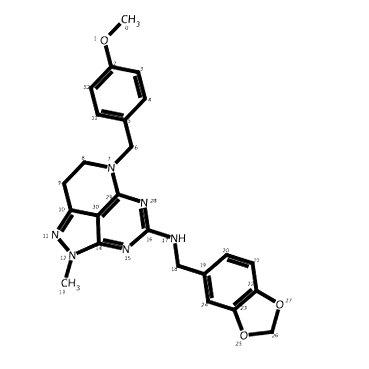 COc1ccc(CN2CCc3nn(C)c4nc(NCc5ccc6c(c5)OCO6)nc2c34)cc1